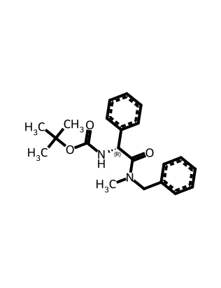 CN(Cc1ccccc1)C(=O)[C@H](NC(=O)OC(C)(C)C)c1ccccc1